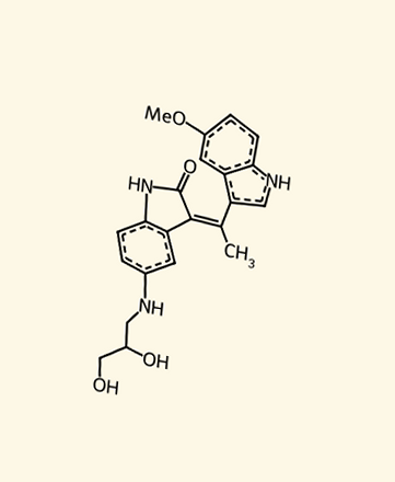 COc1ccc2[nH]cc(C(C)=C3C(=O)Nc4ccc(NCC(O)CO)cc43)c2c1